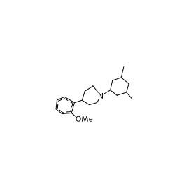 COc1ccccc1C1CCN(C2CC(C)CC(C)C2)CC1